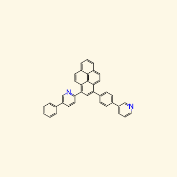 c1ccc(-c2ccc(-c3cc(-c4ccc(-c5cccnc5)cc4)c4ccc5cccc6ccc3c4c56)nc2)cc1